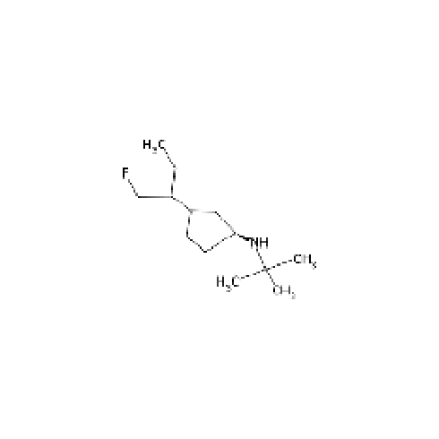 CCC(CF)C1CC[C@H](NC(C)(C)C)C1